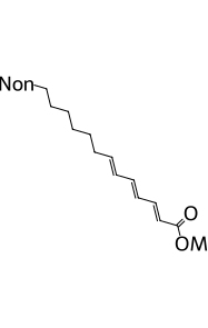 CCCCCCCCCCCCCCCC=CC=CC=CC(=O)OC